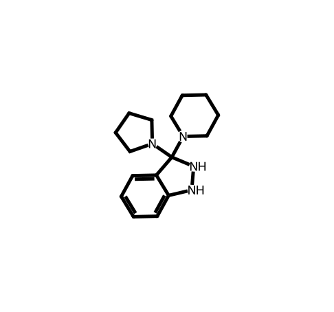 c1ccc2c(c1)NNC2(N1CCCCC1)N1CCCC1